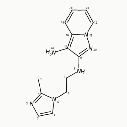 Cc1nccn1CCNc1nn2ccccc2c1N